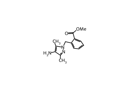 COC(=O)c1ccccc1Cn1nc(C)c(N)c1C